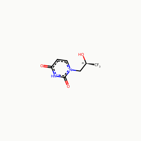 O=c1ccn(C[C@@H](O)C(F)(F)F)c(=O)[nH]1